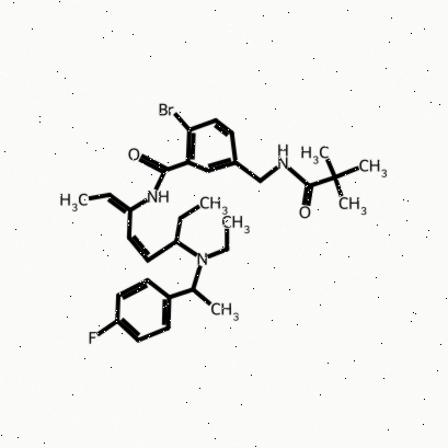 C/C=C(\C=C/C(CC)N(CC)C(C)c1ccc(F)cc1)NC(=O)c1cc(CNC(=O)C(C)(C)C)ccc1Br